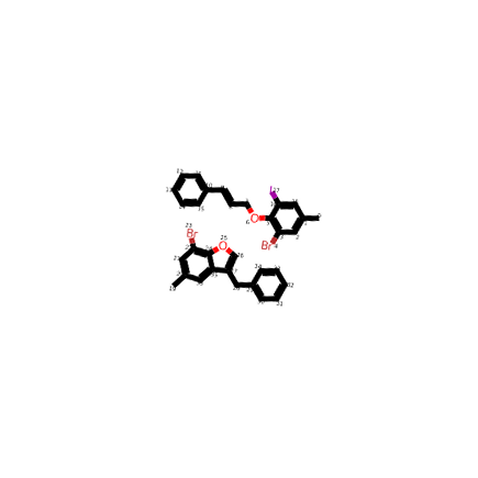 Cc1cc(Br)c(OCC=Cc2ccccc2)c(I)c1.Cc1cc(Br)c2occ(Cc3ccccc3)c2c1